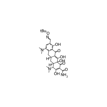 CN(C)c1cc(/C=N/OC(C)(C)C)c(O)c2c1C[C@H]1C[C@H]3C(N(C)C)C(O)=C(C(N)=O)C(=O)[C@@]3(O)C(O)=C1C2=O